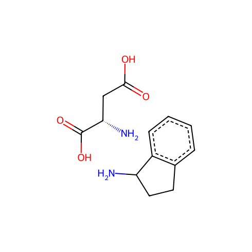 NC1CCc2ccccc21.N[C@@H](CC(=O)O)C(=O)O